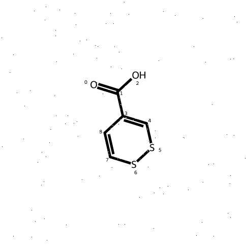 O=C(O)C1=CSSC=C1